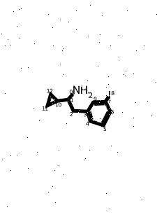 NC(Cc1cccc(I)c1)C1CC1